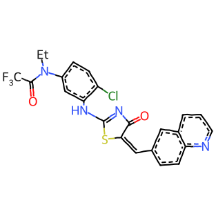 CCN(C(=O)C(F)(F)F)c1ccc(Cl)c(NC2=NC(=O)C(=Cc3ccc4ncccc4c3)S2)c1